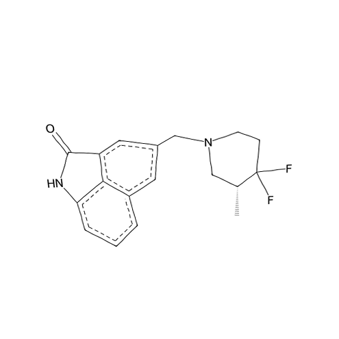 C[C@@H]1CN(Cc2cc3c4c(cccc4c2)NC3=O)CCC1(F)F